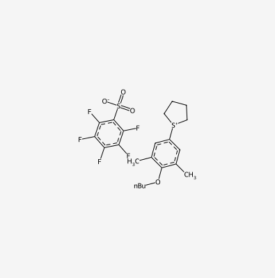 CCCCOc1c(C)cc([S+]2CCCC2)cc1C.O=S(=O)([O-])c1c(F)c(F)c(F)c(F)c1F